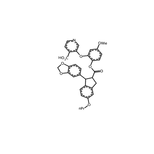 CCCOc1ccc2c(c1)CC(C(=O)Oc1ccc(OC)cc1Oc1cnccc1C(=O)O)C2c1ccc2c(c1)OCO2